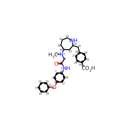 CN(CC(=O)Nc1ccc(Oc2ccccc2)cc1)C1CCCNC(Cc2ccc(C(=O)O)cc2)C1